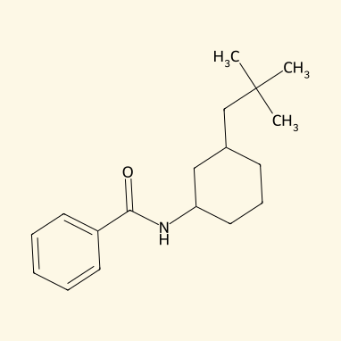 CC(C)(C)CC1CCCC(NC(=O)c2ccccc2)C1